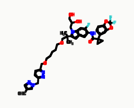 CC(C)(COCCCCCOCc1ccc(Cn2cc(C=O)cn2)nn1)c1cc2cc(NC(=O)C3(c4ccc5c(c4)OC(F)(F)O5)CC3)c(F)cc2n1CC(O)CO